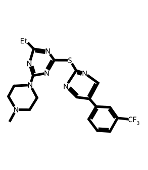 CCc1nc(Sc2ncc(-c3cccc(C(F)(F)F)c3)cn2)nc(N2CCN(C)CC2)n1